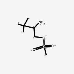 CC(C)(C)C(N)COS(C)(=O)=O